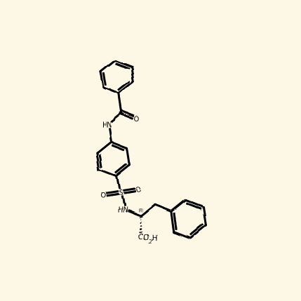 O=C(Nc1ccc(S(=O)(=O)N[C@H](Cc2ccccc2)C(=O)O)cc1)c1ccccc1